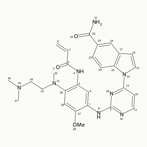 C=CC(=O)Nc1cc(Nc2nccc(-n3ccc4cc(C(N)=O)ccc43)n2)c(OC)cc1N(C)CCN(C)C